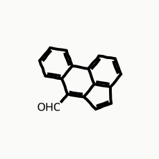 O=Cc1c2c3c(cccc3c3ccccc13)C=C2